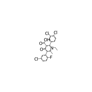 CCn1c(C)c(-c2cc(Cl)ccc2F)c(=O)c(C(=O)O)c1-c1ccc(Cl)c(Cl)c1